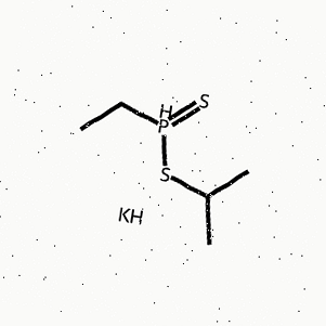 CC[PH](=S)SC(C)C.[KH]